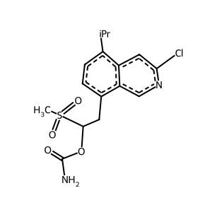 CC(C)c1ccc(CC(OC(N)=O)S(C)(=O)=O)c2cnc(Cl)cc12